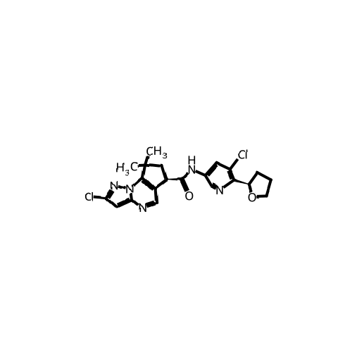 CC1(C)C[C@@H](C(=O)Nc2cnc([C@H]3CCCO3)c(Cl)c2)c2cnc3cc(Cl)nn3c21